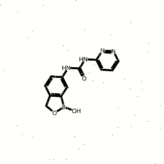 O=C(Nc1ccc2c(c1)B(O)OC2)Nc1cccnn1